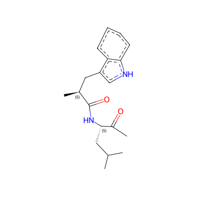 CC(=O)[C@H](CC(C)C)NC(=O)[C@@H](C)Cc1c[nH]c2ccccc12